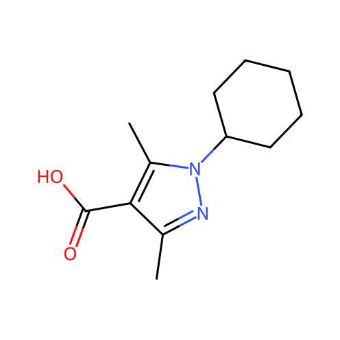 Cc1nn(C2CCCCC2)c(C)c1C(=O)O